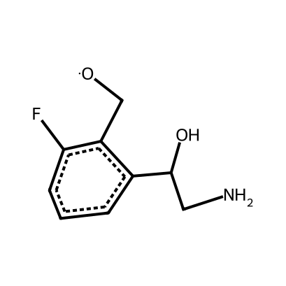 NCC(O)c1cccc(F)c1C[O]